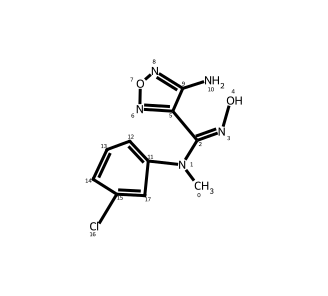 CN(/C(=N/O)c1nonc1N)c1cccc(Cl)c1